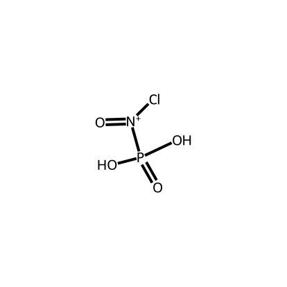 O=[N+](Cl)P(=O)(O)O